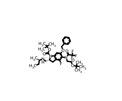 CC[C@@H](C)NC[C@H]1Cc2c(cc(OCc3ccccc3)c(N(CC(=O)OC(C)(C)C)C(=O)C(F)(F)F)c2F)N1C(=O)OC(C)(C)C